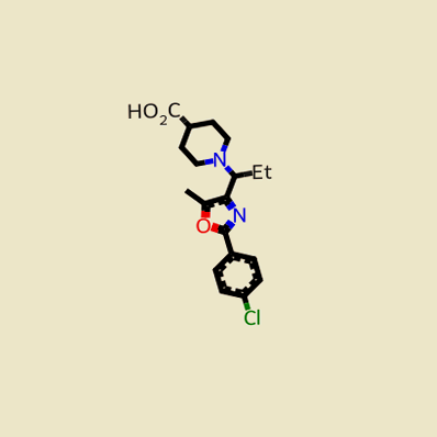 CCC(c1nc(-c2ccc(Cl)cc2)oc1C)N1CCC(C(=O)O)CC1